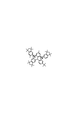 Cc1cc2c3c(c1)N(c1cc4c(cc1C)C(C)(C)CC4(C)C)c1cc4c(cc1C3c1ccc(C(C)(C)C)cc1N2c1ccc2c(c1)C(C)(C)CC2(C)C)C(C)(C)CC4(C)C